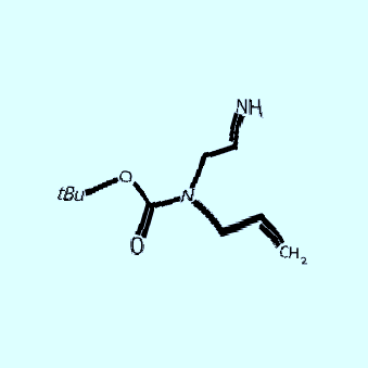 C=CCN(CC=N)C(=O)OC(C)(C)C